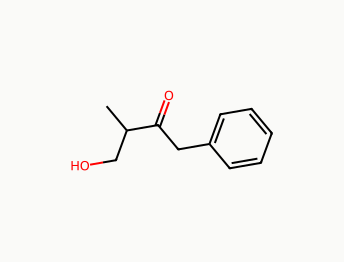 CC(CO)C(=O)Cc1ccccc1